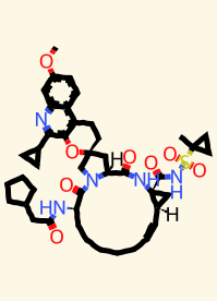 COc1ccc2c3c(c(C4CC4)nc2c1)O[C@]1(CC3)C[C@H]2C(=O)N[C@]3(C(=O)NS(=O)(=O)C4(C)CC4)C[C@H]3/C=C\CCCCC[C@H](NC(=O)CC3CCCC3)C(=O)N2C1